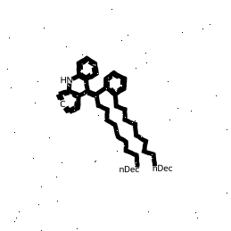 CCCCCCCCCCCCCCCCCCC(=C1c2ccccc2Nc2ccccc21)c1ccccc1CCCCCCCCCCCCCCCCCC